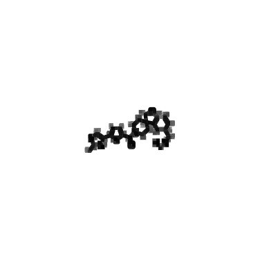 Cc1nc(-c2ccc(C(=O)N3CCC4(CC3)COc3ccc(CN)cc34)s2)cs1